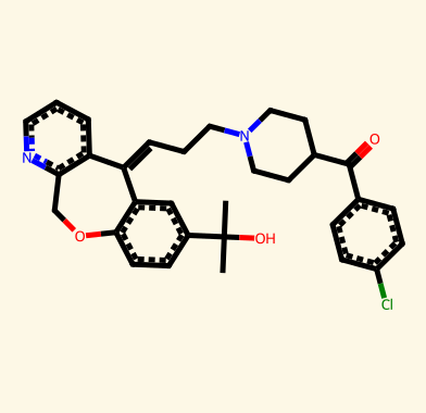 CC(C)(O)c1ccc2c(c1)/C(=C\CCN1CCC(C(=O)c3ccc(Cl)cc3)CC1)c1cccnc1CO2